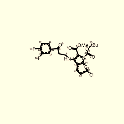 COC(=O)c1c(NCCC(=O)c2ccc(F)c(F)c2)c2ccc(Cl)cc2n1C(=O)OC(C)(C)C